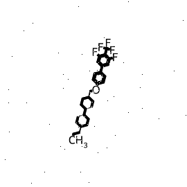 CCC[C@H]1CC[C@H]([C@H]2CC[C@H](COc3ccc(-c4cc(F)c(C(F)(F)F)c(F)c4)cc3)CC2)CC1